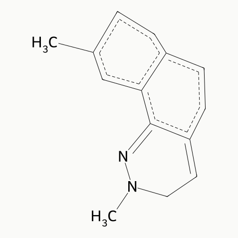 Cc1ccc2ccc3c(c2c1)=NN(C)CC=3